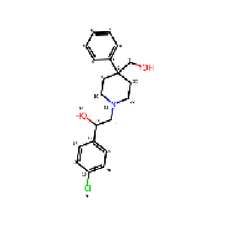 OCC1(c2ccccc2)CCN(CC(O)c2ccc(Cl)cc2)CC1